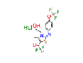 Cc1c(C(=O)C(F)(F)F)s/c(=N/c2ccc(OC(F)(F)F)cc2)n1CCO.Cl